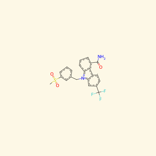 CS(=O)(=O)c1cccc(Cn2c3cc(C(F)(F)F)c[c]c3c3c(C(N)=O)cccc32)c1